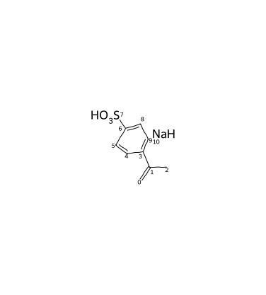 C=C(C)c1ccc(S(=O)(=O)O)cc1.[NaH]